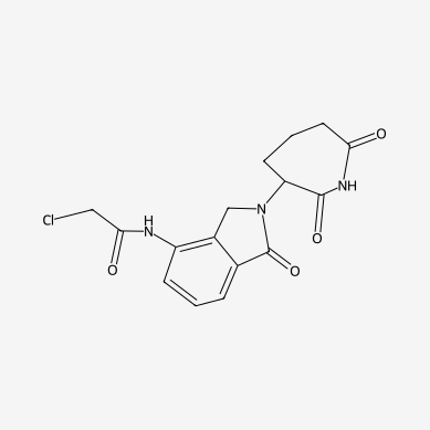 O=C1CCCC(N2Cc3c(NC(=O)CCl)cccc3C2=O)C(=O)N1